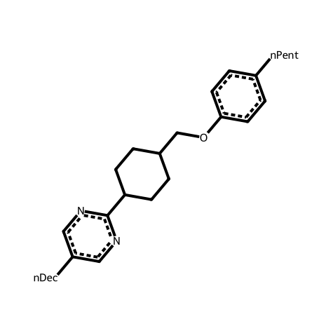 CCCCCCCCCCc1cnc(C2CCC(COc3ccc(CCCCC)cc3)CC2)nc1